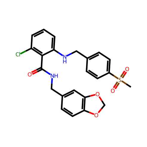 CS(=O)(=O)c1ccc(CNc2cccc(Cl)c2C(=O)NCc2ccc3c(c2)OCO3)cc1